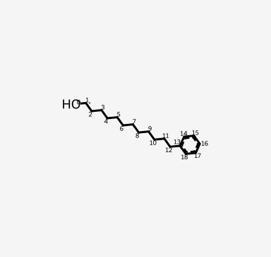 O[CH]CCCCCCCCCCCc1ccccc1